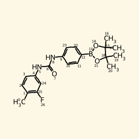 Cc1ccc(NC(=O)Nc2ccc(B3OC(C)(C)C(C)(C)O3)cc2)cc1F